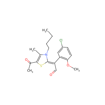 CCCCN1C(C)=C(C(C)=O)S/C1=C(\C=O)c1cc(Cl)ccc1OC